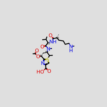 CNCCCC[C@@H](C)C(=O)N[C@H](C(=O)N(C)[C@H](C[C@@H](OC(C)=O)c1nc(C(=O)O)cs1)C(C)C)C(C)C